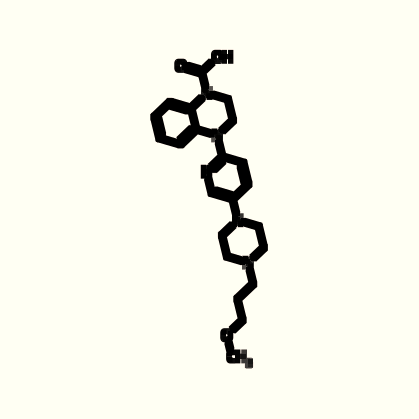 COCCCN1CCN(c2ccc(N3CCN(C(=O)O)c4ccccc43)nc2)CC1